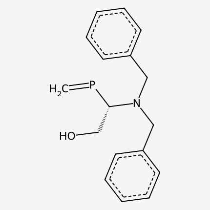 C=P[C@@H](CO)N(Cc1ccccc1)Cc1ccccc1